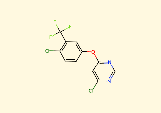 FC(F)(F)c1cc(Oc2cc(Cl)ncn2)ccc1Cl